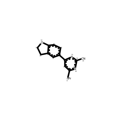 CCCc1cc(-c2ccc3c(c2)CCO3)nc(C#N)n1